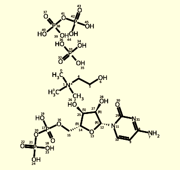 C[N+](C)(C)CCO.Nc1ccn([C@@H]2O[C@H](COP(=O)(O)OP(=O)(O)O)[C@@H](O)[C@H]2O)c(=O)n1.O=P(O)(O)O.O=P(O)(O)OP(=O)(O)O